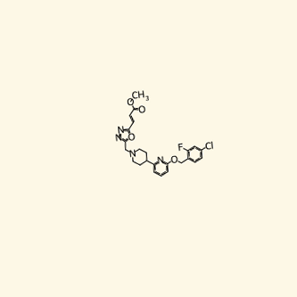 COC(=O)/C=C/c1nnc(CN2CCC(c3cccc(OCc4ccc(Cl)cc4F)n3)CC2)o1